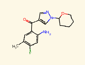 Cc1cc(C(=O)c2cnn(C3CCCCO3)c2)c(N)cc1F